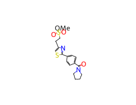 COS(=O)(=O)CCc1csc(-c2ccc(C(=O)N3CCCC3)cc2)n1